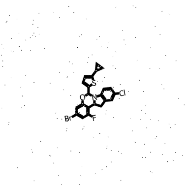 Fc1cc(Br)cc2c1C1Cc3cc(Cl)ccc3N1C(c1ccc(C3CC3)s1)O2